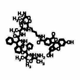 CC(C)[C@H](NC(=O)[C@H](C)N)C(=O)N1CCC[C@H]1C(=O)N[C@H](C(=O)N[C@@H](C)C(=O)N[C@@H](CCCCNC(=O)c1ccc2c(c1)C(=O)OC21c2ccc(O)cc2Oc2cc(O)ccc21)C(=O)N[C@@H](C)C(N)=O)C(c1ccccc1)c1ccccc1